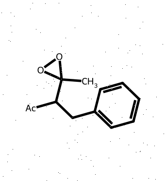 CC(=O)C(Cc1ccccc1)C1(C)OO1